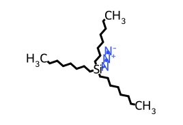 CCCCCCCC[Si](CCCCCCCC)(CCCCCCCC)N=[N+]=[N-]